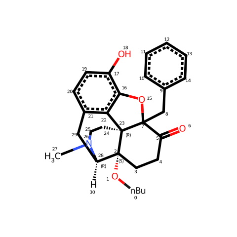 CCCCO[C@@]12CCC(=O)C3(Cc4ccccc4)Oc4c(O)ccc5c4[C@@]31CCN(C)[C@@H]2C5